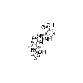 O=C(O)[C@@H]1CCC[C@H](Nc2ncc(F)c(-c3ccnc(C4(O)CCC4)c3)n2)C1